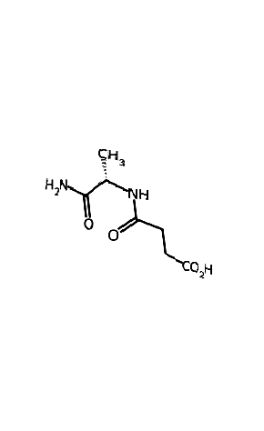 C[C@H](NC(=O)CCC(=O)O)C(N)=O